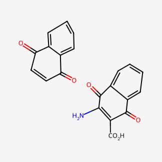 NC1=C(C(=O)O)C(=O)c2ccccc2C1=O.O=C1C=CC(=O)c2ccccc21